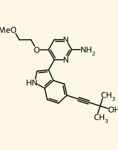 COCCOc1cnc(N)nc1-c1c[nH]c2ccc(C#CC(C)(C)O)cc12